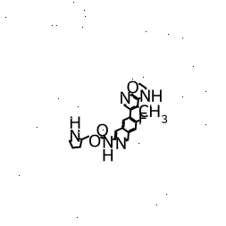 Cc1c(-c2cc3cc(NC(=O)OCC4CCCN4)ncc3cc2F)cnc2c1NCCO2